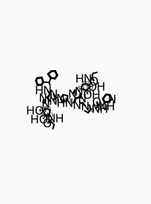 CCC(=O)N[C@H]1C[C@@H](n2cnc3c(NCC(c4ccccc4)c4ccccc4)nc(N4CC[C@@H](Nc5nc(N6CC[C@@H](NC(=O)Nc7cccnc7)C6)nc6c5ncn6[C@@H]5C[C@H](NC(=O)CC)[C@@H](O)[C@H]5O)C4)nc32)[C@H](O)[C@@H]1O